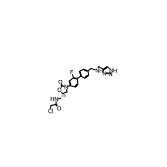 O=C(CCl)NC[C@H]1CN(c2ccc(-c3ccc(CNCc4c[nH]nn4)cc3)c(F)c2)C(=O)O1